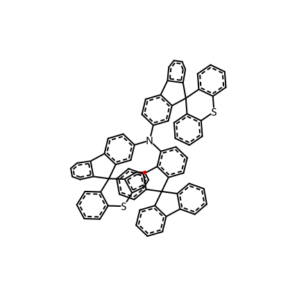 c1ccc2c(c1)Sc1ccccc1C21c2ccccc2-c2ccc(N(c3ccc4c(c3)C3(c5ccccc5Sc5ccccc53)c3ccccc3-4)c3cccc4c3-c3ccccc3C43c4ccccc4-c4ccccc43)cc21